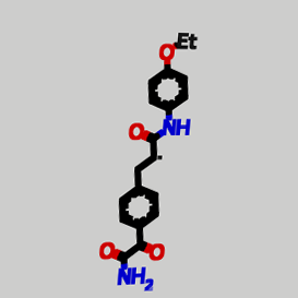 CCOc1ccc(NC(=O)[CH]Cc2ccc(C(=O)C(N)=O)cc2)cc1